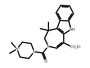 CCOC(=O)C1=CN(C(=O)N2CC[N+](C)(C)CC2)CC(C)(C)c2c1[nH]c1ccccc21